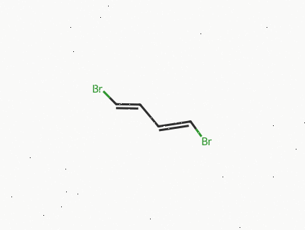 BrC=CC=CBr